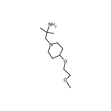 COCCOC1CCN(CC(C)(C)N)CC1